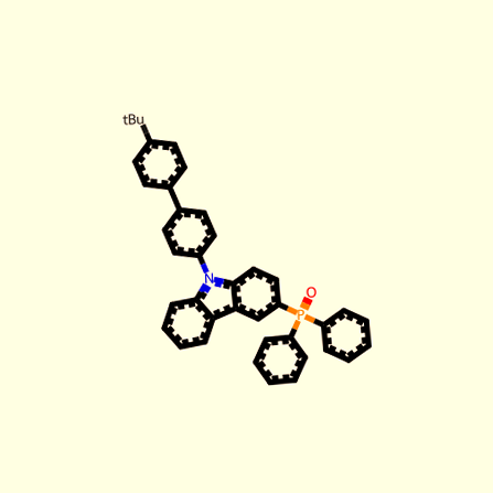 CC(C)(C)c1ccc(-c2ccc(-n3c4ccccc4c4cc(P(=O)(c5ccccc5)c5ccccc5)ccc43)cc2)cc1